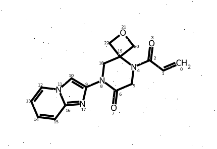 C=CC(=O)N1CC(=O)N(c2cn3ccccc3n2)CC12COC2